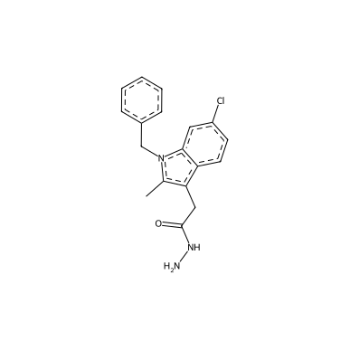 Cc1c(CC(=O)NN)c2ccc(Cl)cc2n1Cc1ccccc1